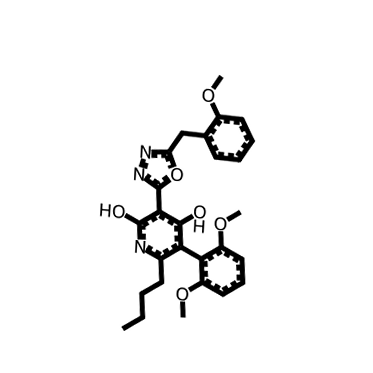 CCCCc1nc(O)c(-c2nnc(Cc3ccccc3OC)o2)c(O)c1-c1c(OC)cccc1OC